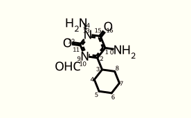 Nc1c(C2CCCCC2)n(C=O)c(=O)n(N)c1=O